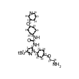 CC(C)(C)c1cc(NC(=O)Nc2ccc(Oc3cccnc3)cc2)n(-c2ccc(OCCN)cc2)n1